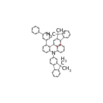 CC1(C)c2ccccc2-c2ccc(-c3c(-c4cccc(-c5ccccc5)c4)cccc3N(c3ccccc3)c3ccc4c(c3)C(C)(C)c3ccccc3-4)cc21